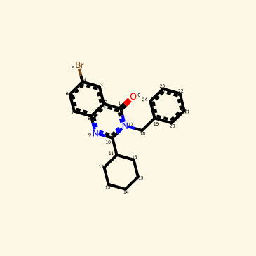 O=c1c2cc(Br)ccc2nc(C2CCCCC2)n1Cc1ccccc1